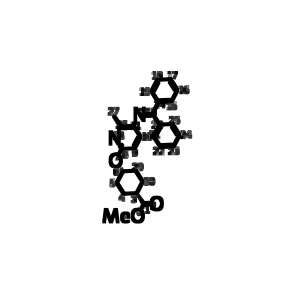 COC(=O)[C@H]1CC[C@H](Oc2ccc(N=C(c3ccccc3)c3ccccc3)c(C)n2)CC1